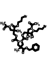 CC(=O)OCC(C)(COC(=O)OCC(C)(COC(=O)OCC(C)(COC(C)=O)C(=O)OCCCBr)C(=O)OCc1ccccc1)C(=O)OCCCBr